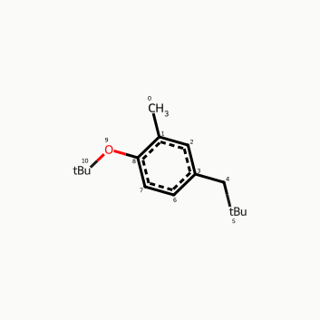 Cc1cc(CC(C)(C)C)ccc1OC(C)(C)C